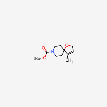 CC1=CCOC12CCN(C(=O)OC(C)(C)C)CC2